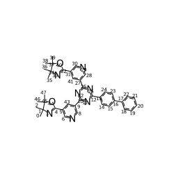 CC1(C)N=C(c2cncc(-c3nc(-c4ccc(-c5ccccc5)cc4)nc(-c4cncc(C5=NC(C)(C)C(C)(C)O5)c4)n3)c2)OC1(C)C